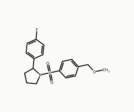 COCc1ccc(S(=O)(=O)N2CCCC2c2ccc(F)cc2)cc1